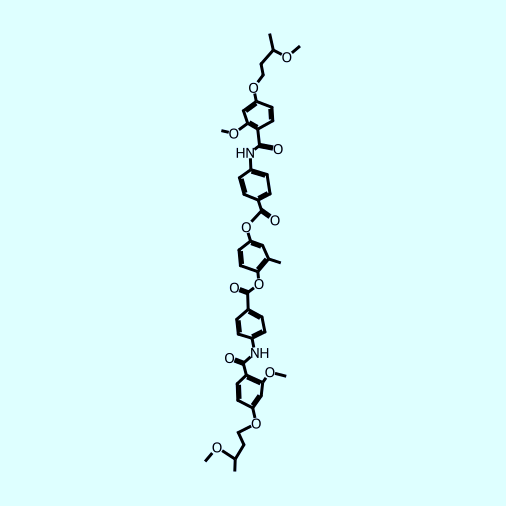 COc1cc(OCCC(C)OC)ccc1C(=O)Nc1ccc(C(=O)Oc2ccc(OC(=O)c3ccc(NC(=O)c4ccc(OCCC(C)OC)cc4OC)cc3)c(C)c2)cc1